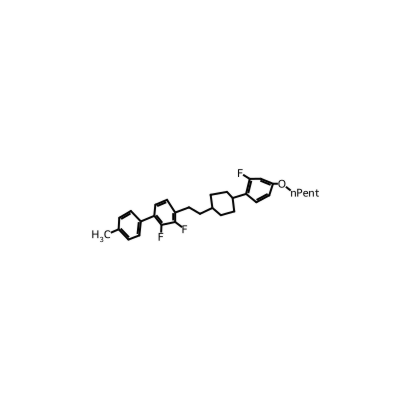 CCCCCOc1ccc(C2CCC(CCc3ccc(-c4ccc(C)cc4)c(F)c3F)CC2)c(F)c1